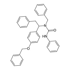 O=C(Nc1ccccc1)N(Cc1ccccc1)C(Cc1ccccc1)c1ccc(OCc2ccccc2)cc1